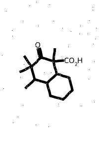 CC1C2CCCCC2C(C)(C(=O)O)C(=O)C1(C)C